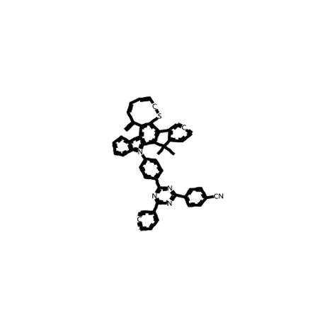 C=C1/C=C\C=C/CSc2c3c(c4c(c21)c1ccccc1n4-c1ccc(-c2nc(-c4ccccc4)nc(-c4ccc(C#N)cc4)n2)cc1)C(C)(C)c1ccccc1-3